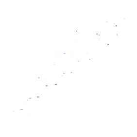 N#Cc1c(-c2ccc(C(F)(F)F)cc2)nc2n1CCN(C(=O)[C@@H](N)CCC(N)=O)C2